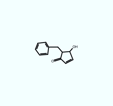 O=C1C=CC(O)C1Cc1ccccc1